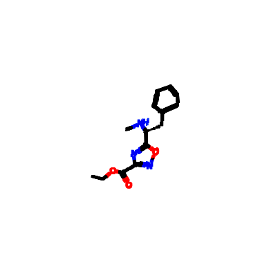 CCOC(=O)c1noc([C@@H](Cc2ccccc2)NC)n1